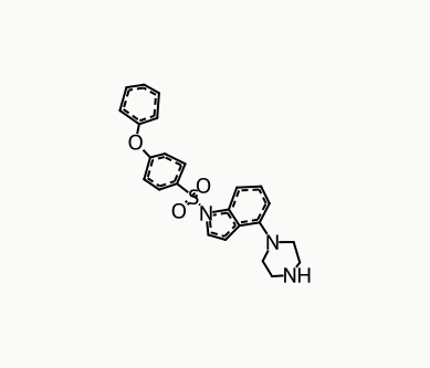 O=S(=O)(c1ccc(Oc2ccccc2)cc1)n1ccc2c(N3CCNCC3)cccc21